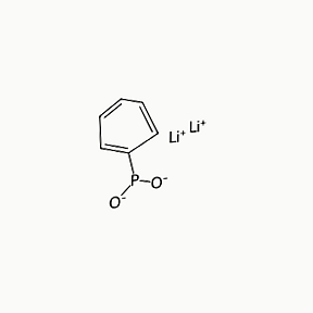 [Li+].[Li+].[O-]P([O-])c1ccccc1